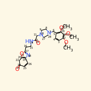 COc1ccc(CN2CCN(CC(=O)NCCc3nc4c(o3)CC(=O)C=C4)CC2)c(OC)c1OC